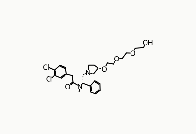 CN(C(=O)Cc1ccc(Cl)c(Cl)c1)[C@H](CN1CC[C@H](OCCOCCOCCO)C1)c1ccccc1